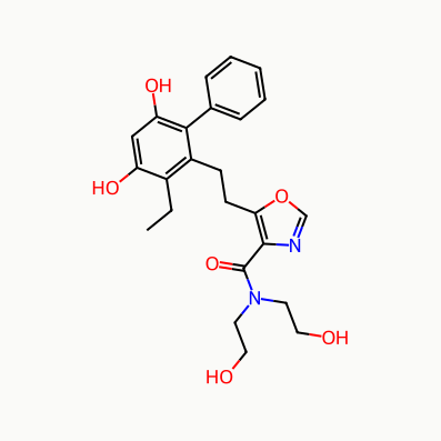 CCc1c(O)cc(O)c(-c2ccccc2)c1CCc1ocnc1C(=O)N(CCO)CCO